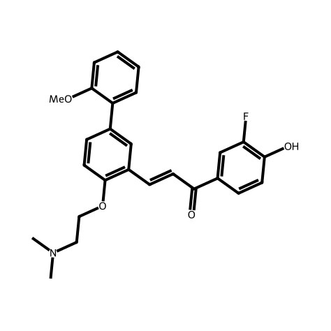 COc1ccccc1-c1ccc(OCCN(C)C)c(C=CC(=O)c2ccc(O)c(F)c2)c1